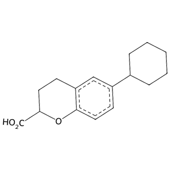 O=C(O)C1CCc2cc(C3CCCCC3)ccc2O1